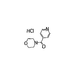 Cl.O=C(c1ccncc1)N1CCOCC1